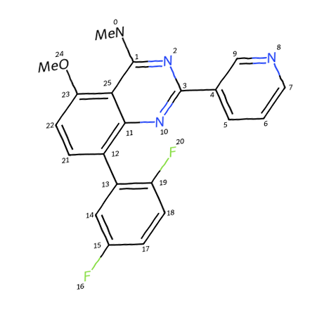 CNc1nc(-c2cccnc2)nc2c(-c3cc(F)ccc3F)ccc(OC)c12